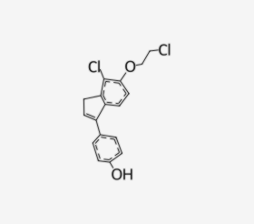 Oc1ccc(C2=CCc3c2ccc(OCCCl)c3Cl)cc1